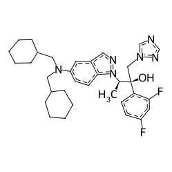 C[C@@H](n1ncc2cc(N(CC3CCCCC3)CC3CCCCC3)ccc21)[C@](O)(Cn1cncn1)c1ccc(F)cc1F